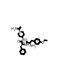 C=C(N)N1CCC(NC(=O)[C@H](Cc2ccccc2)NC(=O)[C@H](N)Cc2ccc(OCC)cc2)CC1